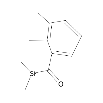 Cc1cccc(C(=O)[Si](C)C)c1C